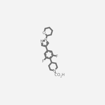 O=C(O)N1CCC(c2c(F)cc(-c3cnn(C4CCCCO4)c3)cc2F)CC1